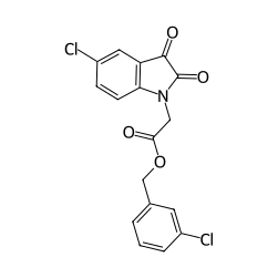 O=C(CN1C(=O)C(=O)c2cc(Cl)ccc21)OCc1cccc(Cl)c1